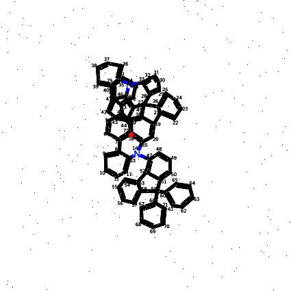 c1ccc(-c2ccc(-c3ccccc3N(c3ccc4c(c3)-c3ccccc3C43c4ccccc4-n4c5ccccc5c5cccc3c54)c3cccc4c3-c3ccccc3C4(c3ccccc3)c3ccccc3)cc2)cc1